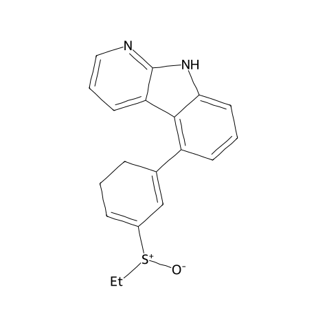 CC[S+]([O-])C1=CCCC(c2cccc3[nH]c4ncccc4c23)=C1